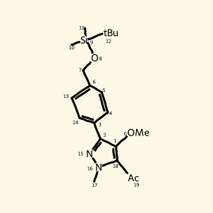 COc1c(-c2ccc(CO[Si](C)(C)C(C)(C)C)cc2)nn(C)c1C(C)=O